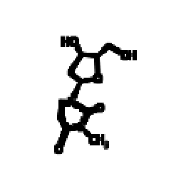 Cn1c(=O)ccn([C@H]2C[C@@H](O)[C@@H](CO)O2)c1=O